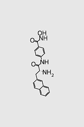 N[C@H](Cc1ccc2ccccc2c1)C(=O)Nc1ccc(C(=O)NO)cc1